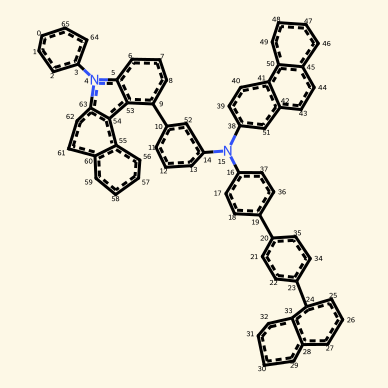 c1ccc(-n2c3cccc(-c4cccc(N(c5ccc(-c6ccc(-c7cccc8ccccc78)cc6)cc5)c5ccc6c(ccc7ccccc76)c5)c4)c3c3c4ccccc4ccc32)cc1